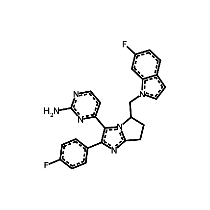 Nc1nccc(-c2c(-c3ccc(F)cc3)nc3n2C(Cn2ccc4ccc(F)cc42)CC3)n1